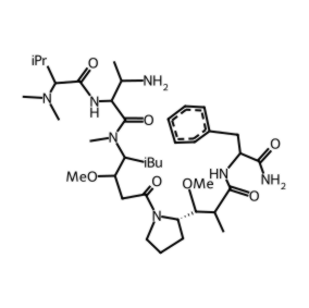 CCC(C)C(C(CC(=O)N1CCC[C@H]1C(OC)C(C)C(=O)NC(Cc1ccccc1)C(N)=O)OC)N(C)C(=O)C(NC(=O)C(C(C)C)N(C)C)C(C)N